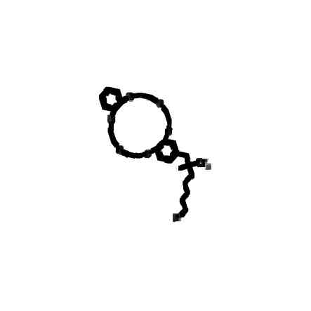 CC(CCCCCBr)(Cc1ccc2c(c1)OCCOCCOc1ccccc1OCCOCCO2)C(F)(F)F